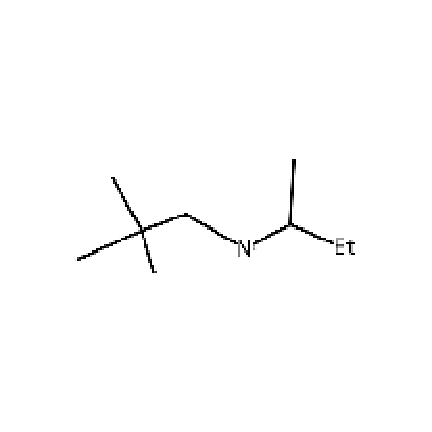 CCC(C)[N]CC(C)(C)C